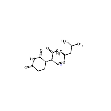 C=C(CC(C)C)/N=C\N(C(C)=O)C1CCC(=O)NC1=O